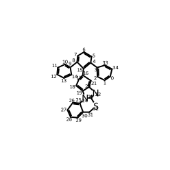 c1ccc(-c2cccc(-c3ccccc3)c2-c2ccc3c(c2)nc2n3-c3ccccc3CS2)cc1